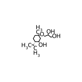 CC(C)[C@@H]1CC[C@@](C)(OCC(O)CO)C[C@H]1O